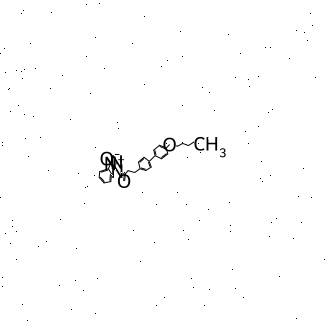 CCCCCOc1ccc(-c2ccc(CCC(=O)n3n[n+]([O-])c4ccccc43)cc2)cc1